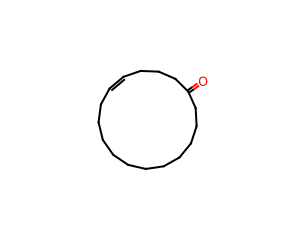 O=C1CCCC=CCCCCCCCCCCC1